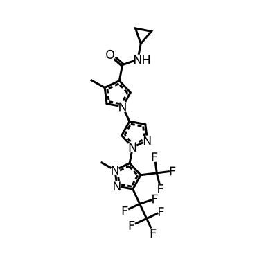 Cc1cn(-c2cnn(-c3c(C(F)(F)F)c(C(F)(F)C(F)(F)F)nn3C)c2)cc1C(=O)NC1CC1